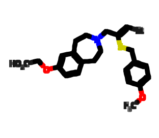 CC/C=C(/CN1CCc2ccc(OCC(=O)O)cc2CC1)SCc1ccc(OC(F)(F)F)cc1